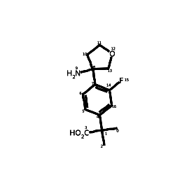 CC(C)(C(=O)O)c1ccc(C2(N)CCOC2)c(F)c1